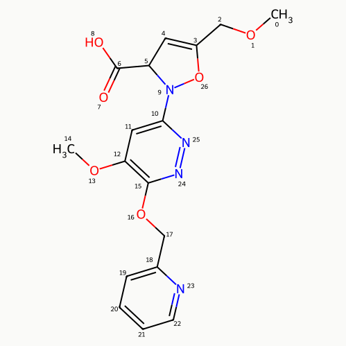 COCC1=CC(C(=O)O)N(c2cc(OC)c(OCc3ccccn3)nn2)O1